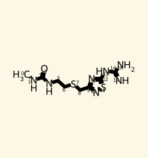 CNC(=O)NCCSCc1nsc(NC(=N)N)n1